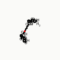 C=C1CCC(N2C(=O)c3cccc(NC(=O)CCCCCCCC(=O)Nc4cccc5c4C(=O)N(C4CCC(=O)NC4=O)C5=O)c3C2=O)C(=O)N1